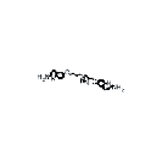 Nc1ccc2cc(OCCCCn3cc(COc4ccc5nc(N)ccc5c4)nn3)ccc2n1